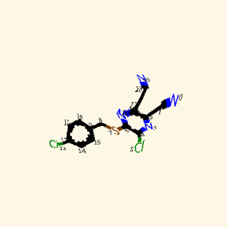 N#Cc1nc(Cl)c(SCc2ccc(Cl)cc2)nc1C#N